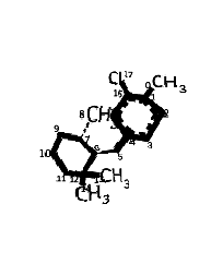 Cc1ccc(C[C@@H]2[C@@H](C)CCCC2(C)C)cc1Cl